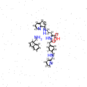 NCc1cccc2ccccc12.O=C(Cc1ccc(CNCc2ccccn2)cc1)N[C@@H](CCCNC1CCCc2cccnc21)C(=O)O